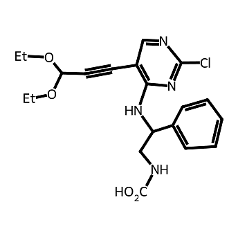 CCOC(C#Cc1cnc(Cl)nc1NC(CNC(=O)O)c1ccccc1)OCC